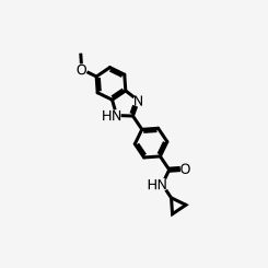 COc1ccc2nc(-c3ccc(C(=O)NC4CC4)cc3)[nH]c2c1